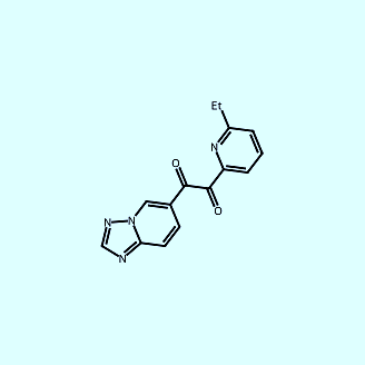 CCc1cccc(C(=O)C(=O)c2ccc3ncnn3c2)n1